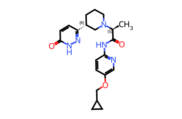 C[C@@H](C(=O)Nc1ccc(OCC2CC2)cn1)N1CCC[C@@H](c2ccc(=O)[nH]n2)C1